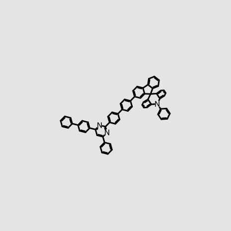 c1ccc(-c2ccc(-c3cc(-c4ccccc4)nc(-c4ccc(-c5ccc(-c6ccc7c(c6)C6(c8ccccc8-7)c7ccccc7N(c7ccccc7)c7ccccc76)cc5)cc4)n3)cc2)cc1